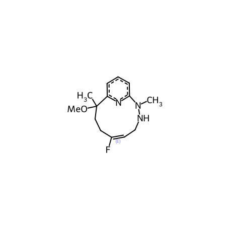 COC1(C)CC/C(F)=C\CNN(C)c2cccc1n2